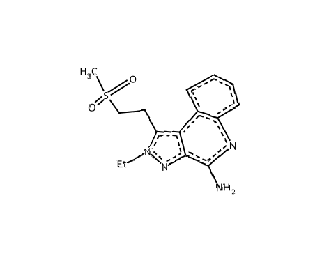 CCn1nc2c(N)nc3ccccc3c2c1CCS(C)(=O)=O